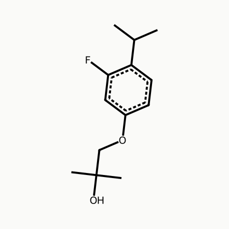 CC(C)c1ccc(OCC(C)(C)O)cc1F